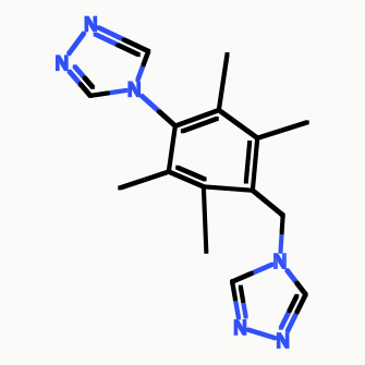 Cc1c(C)c(-n2cnnc2)c(C)c(C)c1Cn1cnnc1